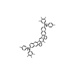 Cc1ccc(N(c2cc(C)c(C)c(C)c2)c2ccc3cc4c(cc3c2)oc2c(C)c3oc5cc6cc(N(c7ccc(C)cc7)c7cc(C)c(C)c(C)c7)ccc6cc5c3cc24)cc1